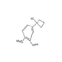 COc1ccc(C2(C#N)CCC2)cc1OC